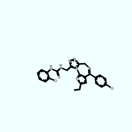 CCc1cc2c(s1)-n1c(nnc1CNC(=O)Nc1ccccc1Cl)CN=C2c1ccc(Cl)cc1